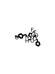 COc1ccc(CN[C@H]2C[C@@H](C(F)F)N(C(=O)OCc3ccccc3)[C@H]2C(C)=O)cc1